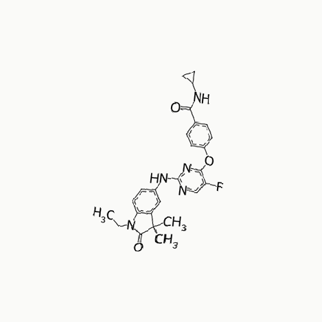 CCN1C(=O)C(C)(C)c2cc(Nc3ncc(F)c(Oc4ccc(C(=O)NC5CC5)cc4)n3)ccc21